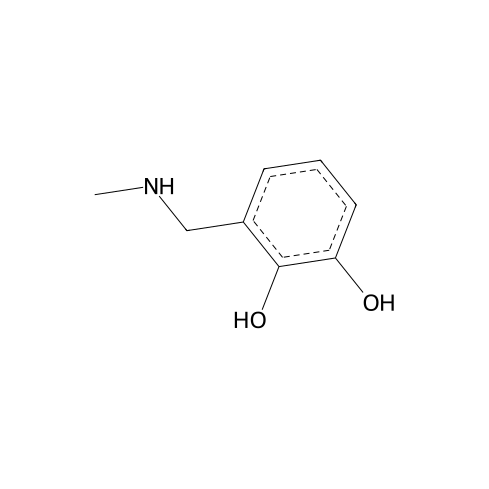 CNCc1cccc(O)c1O